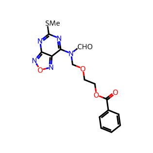 CSc1nc(N(C=O)COCCOC(=O)c2ccccc2)c2nonc2n1